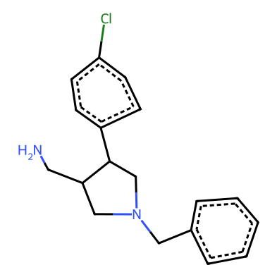 NCC1CN(Cc2ccccc2)CC1c1ccc(Cl)cc1